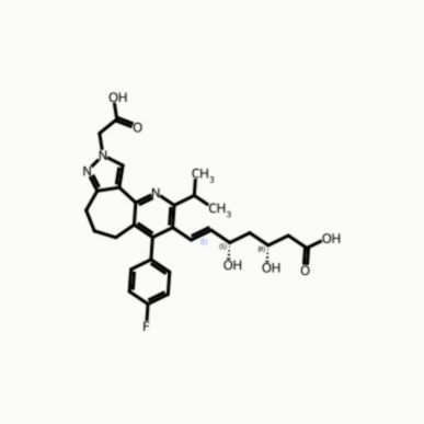 CC(C)c1nc2c(c(-c3ccc(F)cc3)c1/C=C/[C@@H](O)C[C@@H](O)CC(=O)O)CCCc1nn(CC(=O)O)cc1-2